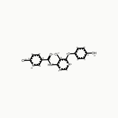 O=C(Nc1ncnc(Oc2ccc(O)cc2)c1Cl)c1ccc(Cl)nc1